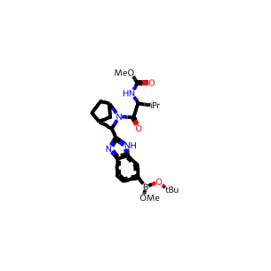 COB(OC(C)(C)C)c1ccc2nc(C3C4CCC(C4)N3C(=O)C(NC(=O)OC)C(C)C)[nH]c2c1